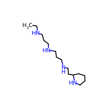 CCNCCCNCCCNCCC1CCCCN1